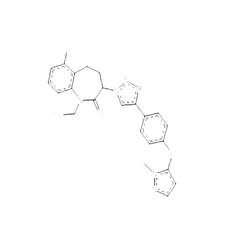 Cn1nccc1Oc1ccc(-c2cn(C3CCc4c(F)cccc4N(CC(F)(F)F)C3=O)nn2)cc1